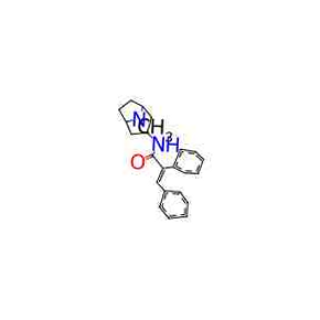 CN1C2CCC1CC(NC(=O)C(=Cc1ccccc1)c1ccccc1)C2